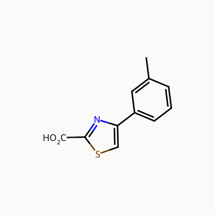 Cc1cccc(-c2csc(C(=O)O)n2)c1